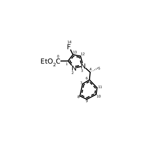 CCOC(=O)c1nn([C@H](C)c2ccccc2)cc1F